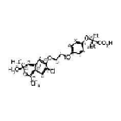 CCC(CC)(Oc1ccc(OCCOc2cc3c(cc2Cl)=C(C(F)(F)F)OC(C)(C)C=3)cc1)C(=O)O